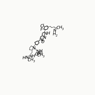 CC(=N)NCCC1CCCC(c2ccc(-n3cc4cc(-c5cc(CCCC(C)N)cc(Cl)c5F)[nH]c4nc3=O)cc2)N1CCNS(C)(=O)=O